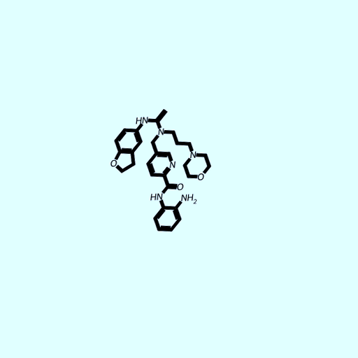 C=C(Nc1ccc2c(c1)CCO2)N(CCCN1CCOCC1)Cc1ccc(C(=O)Nc2ccccc2N)nc1